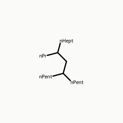 CCCCCCCC(CCC)CC(CCCCC)CCCCC